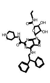 CCNC(=O)[C@H]1O[C@@H](n2cnc3c(NCC(c4ccccc4)c4ccccc4)nc(C(=O)NC4CCNCC4)nc32)[C@@H](O)[C@@H]1O